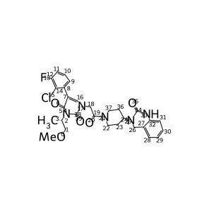 COC[C@H](C)n1c(=O)c(-c2cccc(F)c2Cl)cn(CC(=O)N2CCC(N3Cc4ccccc4NC3=O)CC2)c1=O